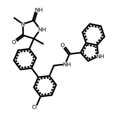 CN1C(=N)NC(C)(c2cccc(-c3cc(Cl)ccc3CNC(=O)c3c[nH]c4ccccc34)c2)C1=O